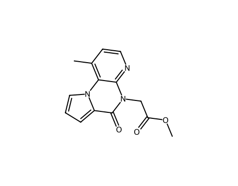 COC(=O)Cn1c(=O)c2cccn2c2c(C)ccnc21